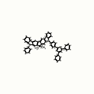 CC1(C)c2cc3c(cc2-c2cc4c5ccccc5n(-c5ccc(-c6nc(-c7ccccc7)cc(-c7ccccc7)n6)cc5)c4cc21)c1ccccc1n3-c1ccccc1